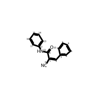 N#CC(=Cc1ccccc1)C(=O)Nc1ccccc1